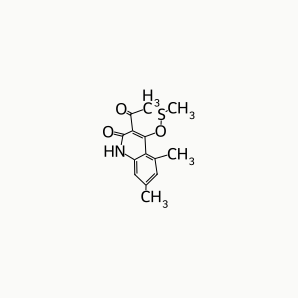 CSOc1c(C(C)=O)c(=O)[nH]c2cc(C)cc(C)c12